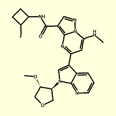 CNc1cc(-c2cn([C@H]3COC[C@@H]3OC)c3ncccc23)nc2c(C(=O)NC3CCC3F)cnn12